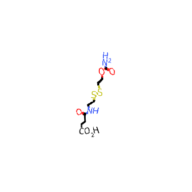 NC(=O)OCCSSCCNC(=O)CCC(=O)O